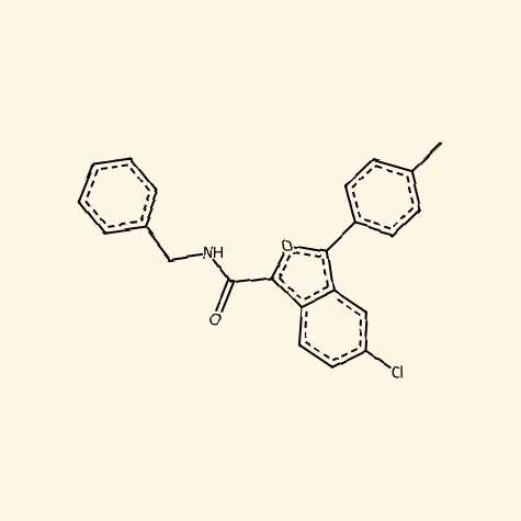 Cc1ccc(-c2oc(C(=O)NCc3ccccc3)c3ccc(Cl)cc23)cc1